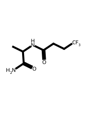 CC(NC(=O)CCC(F)(F)F)C(N)=O